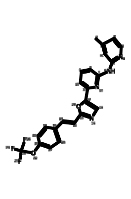 Cc1ccnc(Nc2cccc(-c3cnc(C=Cc4ccc(OC(F)(F)F)cc4)o3)n2)c1